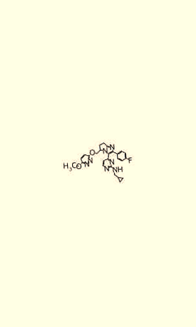 COc1ccc(OCC2CCc3nc(-c4ccc(F)cc4)c(-c4ccnc(NCC5CC5)n4)n32)nn1